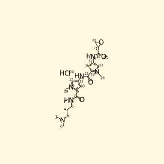 CN(C)CCCNC(=O)c1cc(NC(=O)c2cc(NC(=O)C3CO3)cn2C)cn1C.Cl